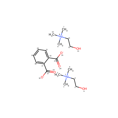 C[N+](C)(C)CCO.C[N+](C)(C)CCO.O=C([O-])c1ccccc1C(=O)[O-]